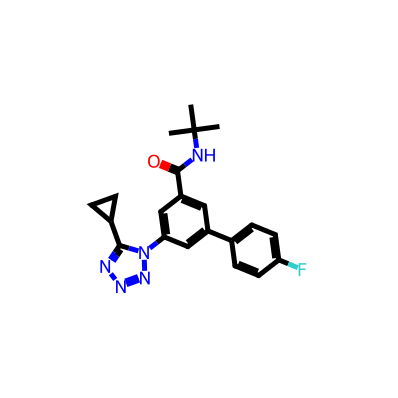 CC(C)(C)NC(=O)c1cc(-c2ccc(F)cc2)cc(-n2nnnc2C2CC2)c1